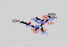 CCCCCCCCCCCCCCCC(=O)NCC(=O)N[C@H](C(=O)N[C@@H](CCC(N)=O)C(=O)N[C@@H](Cc1c[nH]cn1)C(=O)N[C@@H](CO)C(=O)N[C@@H](CCCC)C(O)NC)[C@H](C)O